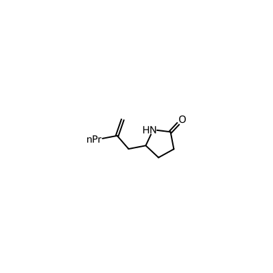 C=C(CCC)CC1CCC(=O)N1